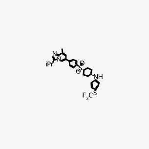 Cc1cc(-c2ccc(S(=O)(=O)[C@H]3CC[C@H](Nc4ccc(SC(F)(F)F)cc4)CC3)cc2)cn2c(C(C)C)cnc12